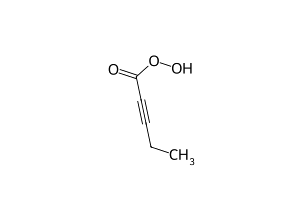 CCC#CC(=O)OO